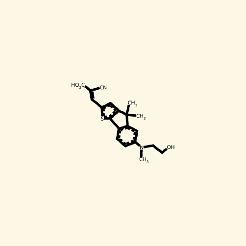 CN(CCO)c1ccc2c(c1)C(C)(C)c1cc(/C=C(\C#N)C(=O)O)sc1-2